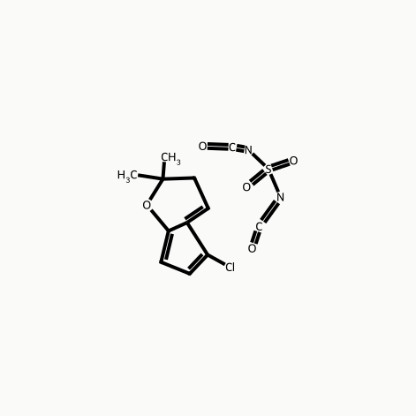 CC1(C)CC=C2C(Cl)=CC=C2O1.O=C=NS(=O)(=O)N=C=O